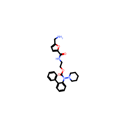 NCc1ccc(C(=O)NCCOC(=O)N(c2ccccc2-c2ccccc2)N2CC[CH]CC2)o1